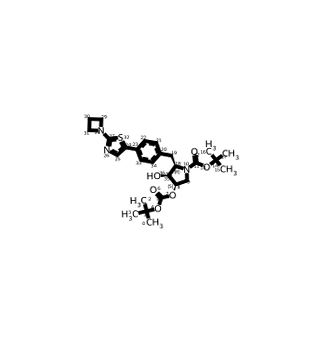 CC(C)(C)OC(=O)O[C@H]1CN(C(=O)OC(C)(C)C)[C@H](Cc2ccc(-c3cnc(N4CCC4)s3)cc2)[C@@H]1O